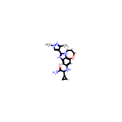 Cc1nn(C)cc1-c1nc2cc(NC(C(N)=O)C3CC3)cc3c2n1CCCO3